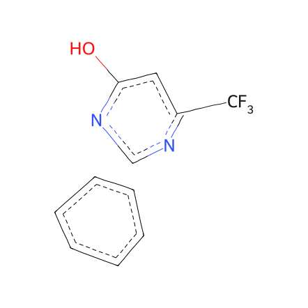 Oc1cc(C(F)(F)F)ncn1.c1ccccc1